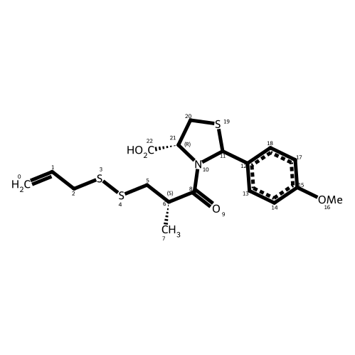 C=CCSSC[C@@H](C)C(=O)N1C(c2ccc(OC)cc2)SC[C@H]1C(=O)O